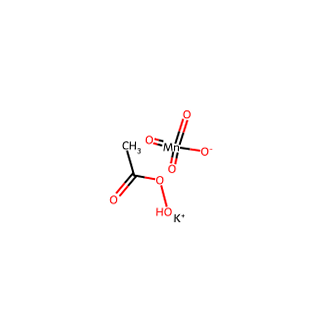 CC(=O)OO.[K+].[O]=[Mn](=[O])(=[O])[O-]